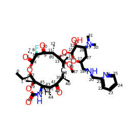 CC[C@H]1OC(=O)[C@@](C)(F)C(=O)[C@H](C)[C@@H](O[C@@H]2OC(CNCc3ccccn3)CC(N(C)C)C2O)[C@](C)(OC)C[C@@H](C)C(=O)[C@H](C)[C@H]2NC(=O)O[C@@]21C